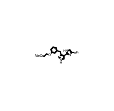 CCCc1c[nH]c(-c2c[nH]nc2Cc2cccc(OCCOC)c2)n1